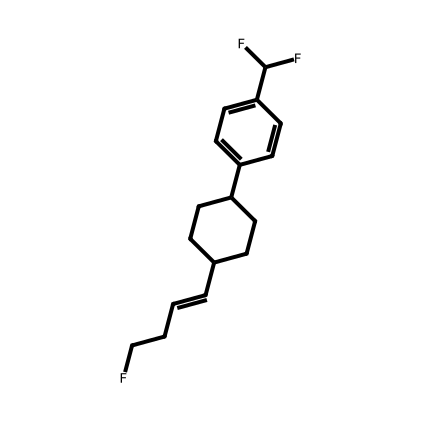 FCC/C=C/C1CCC(c2ccc(C(F)F)cc2)CC1